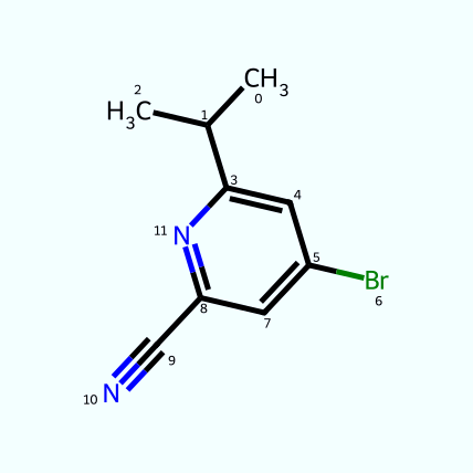 CC(C)c1cc(Br)cc(C#N)n1